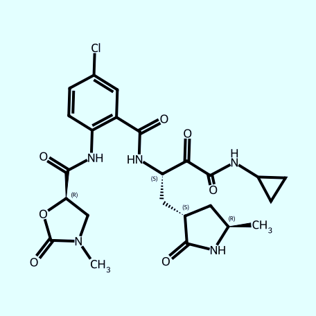 C[C@@H]1C[C@@H](C[C@H](NC(=O)c2cc(Cl)ccc2NC(=O)[C@H]2CN(C)C(=O)O2)C(=O)C(=O)NC2CC2)C(=O)N1